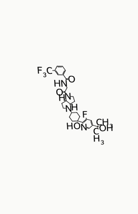 CC(C)(O)c1cnc([C@]2(O)CC[C@@H](N3CC[C@H]4[C@@H]3CCN4C(=O)CNC(=O)c3cccc(C(F)(F)F)c3)CC2)c(F)c1